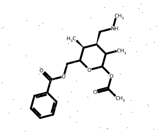 CNC[C@H]1C(C)C(OC(C)=O)OC(COC(=O)c2ccccc2)[C@H]1C